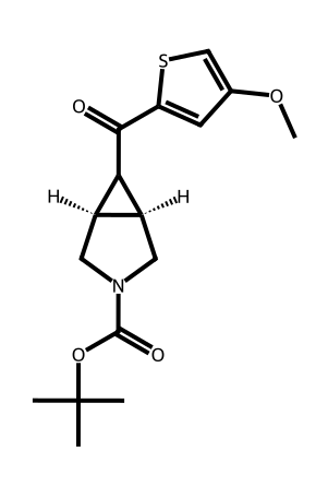 COc1csc(C(=O)C2[C@H]3CN(C(=O)OC(C)(C)C)C[C@@H]23)c1